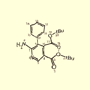 CC(C)(C)OC(=O)c1cnc(N)c(-c2ccccc2)c1C(=O)OC(C)(C)C